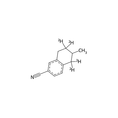 [2H]C1([2H])Cc2cc(C#N)ccc2C([2H])([2H])C1C